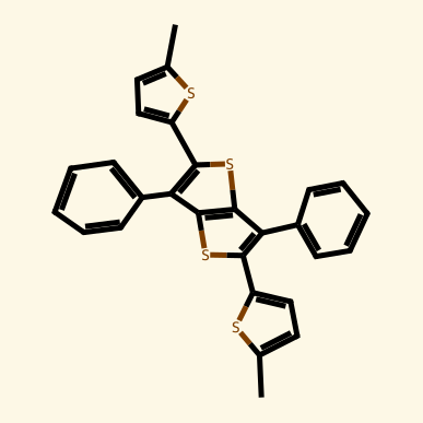 Cc1ccc(-c2sc3c(-c4ccccc4)c(-c4ccc(C)s4)sc3c2-c2ccccc2)s1